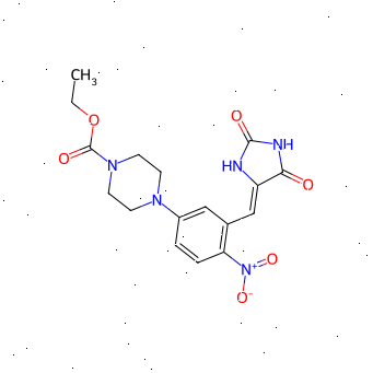 CCOC(=O)N1CCN(c2ccc([N+](=O)[O-])c(C=C3NC(=O)NC3=O)c2)CC1